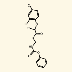 CCC(Oc1ccc(Cl)cc1Cl)C(=O)OCNC(=O)Oc1ccccc1